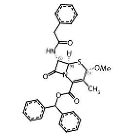 CO[C@H]1S[C@@H]2[C@@H](NC(=O)Cc3ccccc3)C(=O)N2C(C(=O)OC(c2ccccc2)c2ccccc2)=C1C